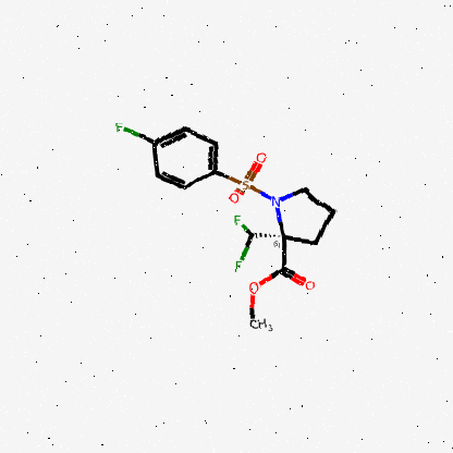 COC(=O)[C@]1(C(F)F)CCCN1S(=O)(=O)c1ccc(F)cc1